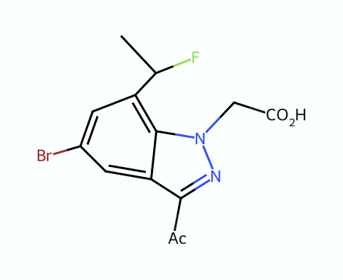 CC(=O)c1nn(CC(=O)O)c2c(C(C)F)cc(Br)cc12